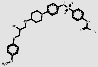 COc1ccc(OCC(O)CNC2CCN(c3ccc(NS(=O)(=O)c4ccc(NC(C)=O)cc4)cc3)CC2)cc1